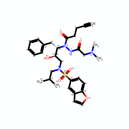 C#CCCC(=O)N(NC(=O)CN(C)C)[C@@H](Cc1ccccc1)[C@H](O)CN(CC(C)C)S(=O)(=O)c1ccc2occc2c1